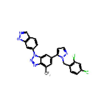 FC(F)(F)c1cc(-c2ccnn2Cc2ccc(Cl)cc2Cl)cc2c1nnn2-c1ccc2cn[nH]c2c1